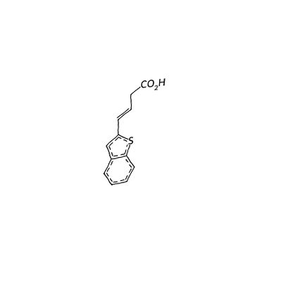 O=C(O)C/C=C/c1cc2ccccc2s1